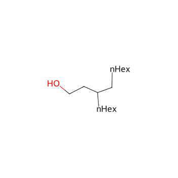 CCCCCCCC(CCO)CCCCCC